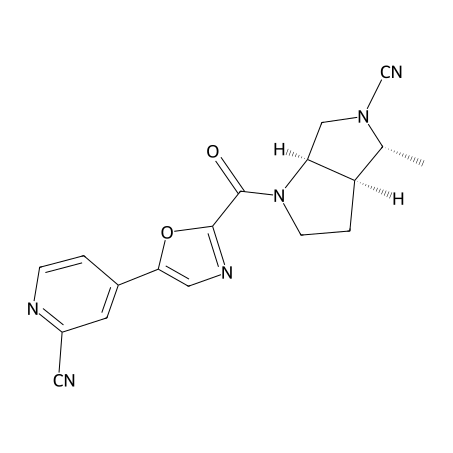 C[C@@H]1[C@H]2CCN(C(=O)c3ncc(-c4ccnc(C#N)c4)o3)[C@H]2CN1C#N